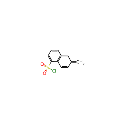 C=C1C=Cc2c(cccc2S(=O)(=O)Cl)C1